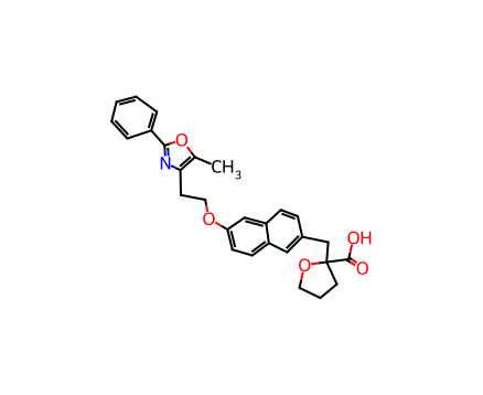 Cc1oc(-c2ccccc2)nc1CCOc1ccc2cc(CC3(C(=O)O)CCCO3)ccc2c1